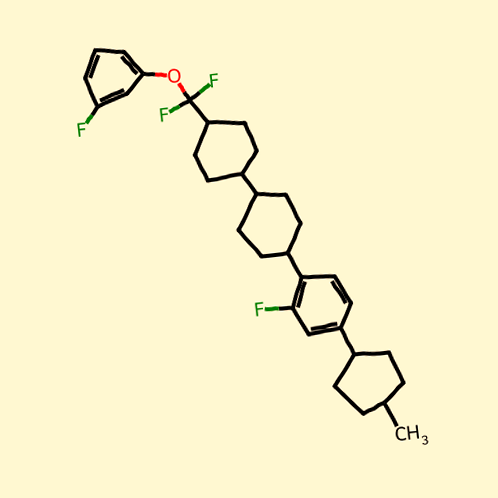 CC1CCC(c2ccc(C3CCC(C4CCC(C(F)(F)Oc5cccc(F)c5)CC4)CC3)c(F)c2)CC1